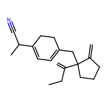 C=C(CC)C1(CC2=CC=C(C(C)C#N)CC2)CCCC1=C